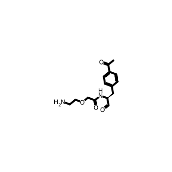 CC(=O)c1ccc(C[C@@H](C=O)NC(=O)COCCN)cc1